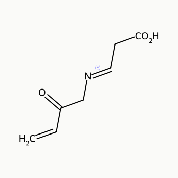 C=CC(=O)C/N=C/CC(=O)O